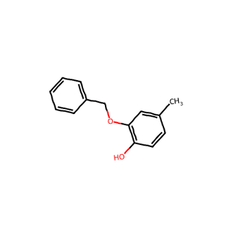 Cc1ccc(O)c(OCc2ccccc2)c1